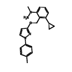 Cc1ccc(-n2ccc(OCc3c(C4CC4)cccc3N(C)N)n2)cc1